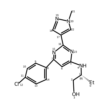 CC[C@H](CO)Nc1cc(-c2ccc(Cl)cc2)nc(-c2cnn(C)c2)n1